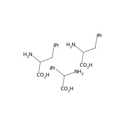 CC(C)C(N)C(=O)O.CC(C)CC(N)C(=O)O.CC(C)CC(N)C(=O)O